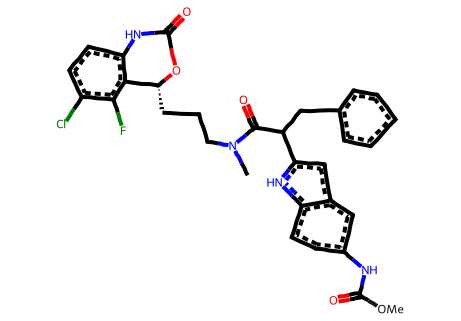 COC(=O)Nc1ccc2[nH]c(C(Cc3ccccc3)C(=O)N(C)CCC[C@H]3OC(=O)Nc4ccc(Cl)c(F)c43)cc2c1